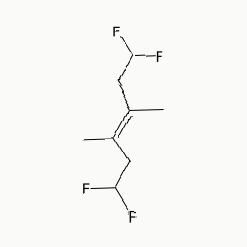 C/C(CC(F)F)=C(/C)CC(F)F